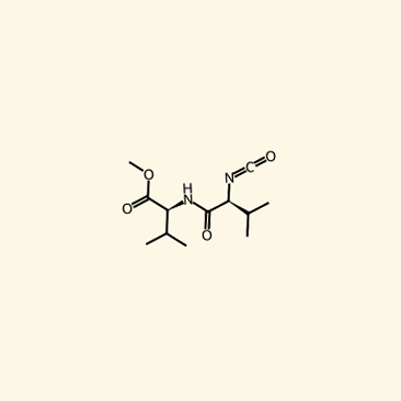 COC(=O)[C@@H](NC(=O)[C@@H](N=C=O)C(C)C)C(C)C